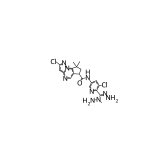 CN(N)/C(=N\N)c1ncc(NC(=O)C2CC(C)(C)c3c2cnc2cc(Cl)nn32)cc1Cl